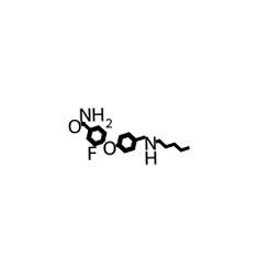 CCCCCNCc1ccc(Oc2ccc(C(N)=O)cc2F)cc1